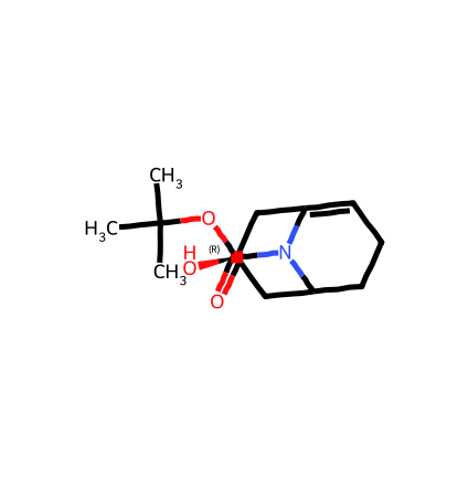 CC(C)(C)OC(=O)N1C2=CCCC1C[C@@H](O)C2